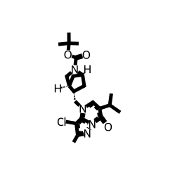 Cc1nn2c(=O)c(C(C)C)cn(C[C@H]3C[C@H]4C[C@@H]3CN4C(=O)OC(C)(C)C)c2c1Cl